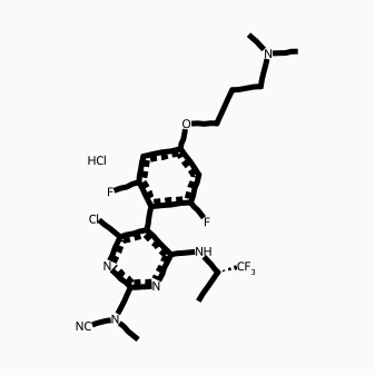 C[C@H](Nc1nc(N(C)C#N)nc(Cl)c1-c1c(F)cc(OCCCN(C)C)cc1F)C(F)(F)F.Cl